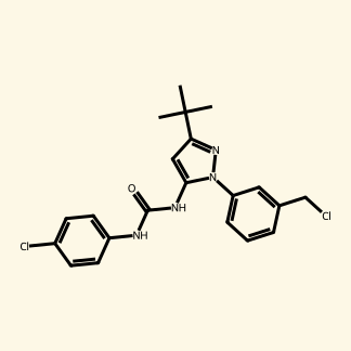 CC(C)(C)c1cc(NC(=O)Nc2ccc(Cl)cc2)n(-c2cccc(CCl)c2)n1